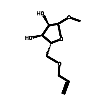 C=CCOC[C@H]1OC(OC)[C@H](O)[C@@H]1O